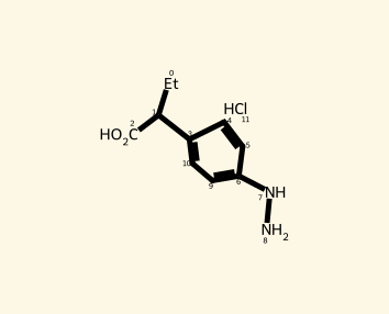 CCC(C(=O)O)c1ccc(NN)cc1.Cl